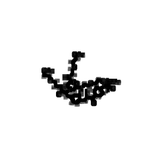 CSP(C)(=O)OC1CCC(C(=O)NCc2ccc(C[C@@H](C(=O)NCCOCCOC(C)=O)N(CC(=O)NCCOCCOC(C)=O)CC(=O)NCCOCCOC(C)=O)cc2)CC1